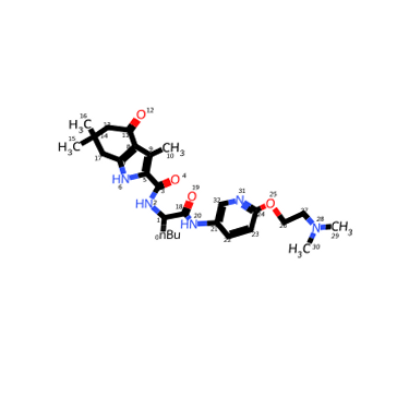 CCCCC(NC(=O)c1[nH]c2c(c1C)C(=O)CC(C)(C)C2)C(=O)Nc1ccc(OCCN(C)C)nc1